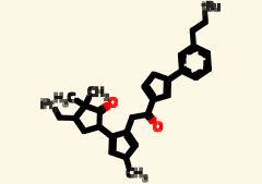 CC1C=C(CC(=O)C2=CCC(c3cccc(CCC(C)(C)C)c3)=C2)C(C2CC(CC(C)C)C(C)(C)C2=O)=C1